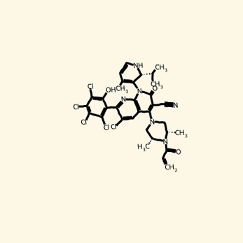 C=CC(=O)N1[C@H](C)CN(c2c(C#N)c(=O)n(C3=C(C)C=CN[C@@H]3C(C)C)c3nc(-c4c(O)c(Cl)c(Cl)c(Cl)c4Cl)c(Cl)cc23)C[C@@H]1C